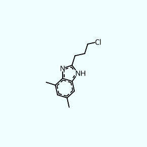 Cc1cc(C)c2nc(CCCCl)[nH]c2c1